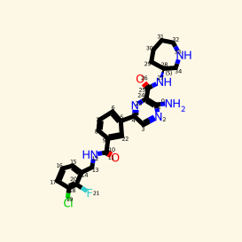 Nc1ncc(-c2cccc(C(=O)NCc3cccc(Cl)c3F)c2)nc1C(=O)N[C@H]1CCCCNC1